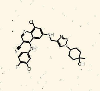 CC1(O)CCC(n2cc(CNc3cc(Cl)c4ncc(C#N)c(Nc5ccc(F)c(Cl)c5)c4c3)nn2)CC1